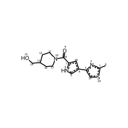 Cc1nc(-c2c[nH]c(C(=O)N3CCC(CO)CC3)c2)cs1